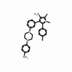 Cc1ccc(-c2c(-c3cccc(N4CCN(c5ccc(N)cc5)CC4)c3)c(N)c(C)n2C)cc1